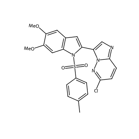 COc1cc2cc(-c3cnc4ccc(Cl)nn34)n(S(=O)(=O)c3ccc(C)cc3)c2cc1OC